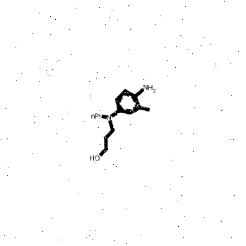 CCCN(CCCO)c1ccc(N)c(C)c1